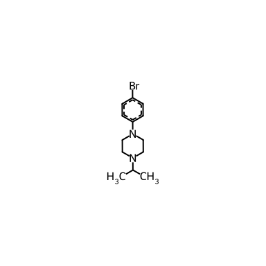 CC(C)N1CCN(c2ccc(Br)cc2)CC1